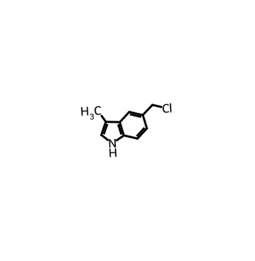 Cc1c[nH]c2ccc(CCl)cc12